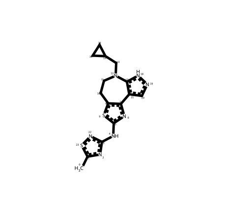 Cc1nc(Nc2nc3c(s2)CCN(CC2CC2)c2[nH]ncc2-3)ns1